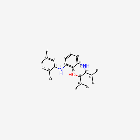 CC(C)=CC(Nc1cccc(NC(C(C)C)C(O)C(C)C)c1)C(C)C